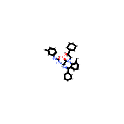 Cc1cccc(NC(=O)N[C@@H]2N=C(C3CCCCC3)c3cccc(C)c3N(CC(=O)C3CCCCC3)C2=O)c1